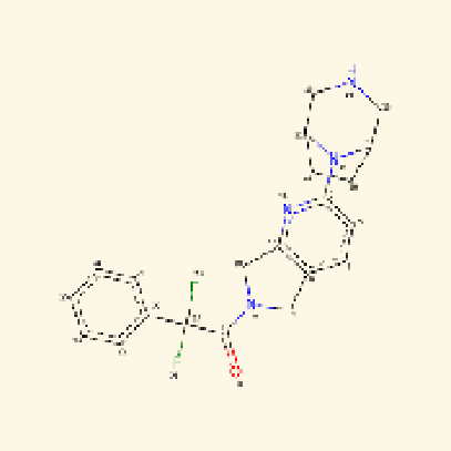 O=C(N1Cc2ccc(N3C4CCC3CNC4)nc2C1)C(F)(F)c1ccccc1